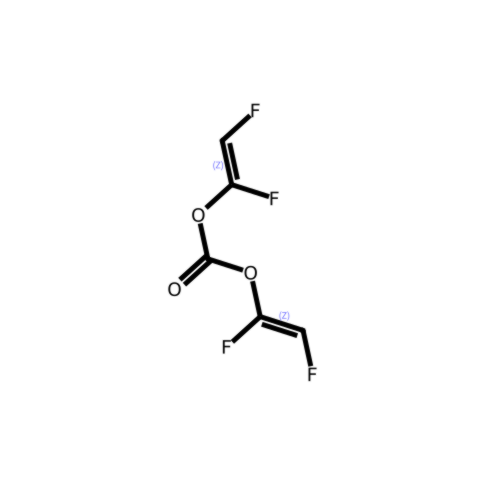 O=C(O/C(F)=C/F)O/C(F)=C/F